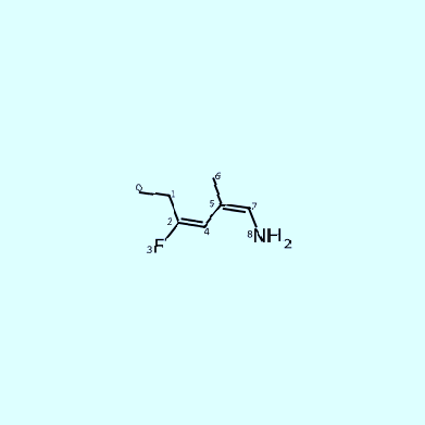 CC/C(F)=C\C(C)=C/N